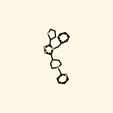 c1ccc(Cn2c(C3CCN(c4ccccn4)CC3)nnc2C2CCCO2)cc1